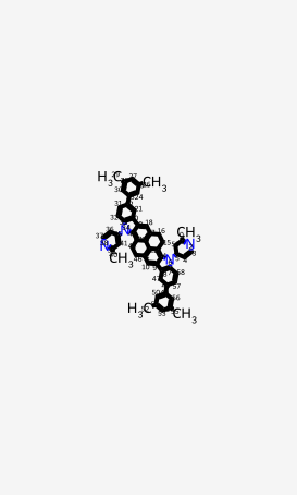 CC1=NC=CC(n2c3c(c4cc5c6c(c42)CCc2cc4c7cc(-c8cc(C)cc(C)c8)ccc7n(-c7ccnc(C)c7)c4c(c2-6)CC5)CC(c2cc(C)cc(C)c2)C=C3)C1